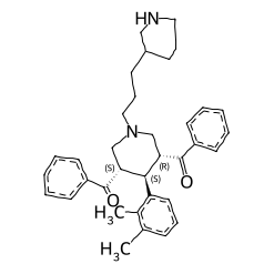 Cc1cccc([C@@H]2[C@@H](C(=O)c3ccccc3)CN(CCCC3CCCNC3)C[C@H]2C(=O)c2ccccc2)c1C